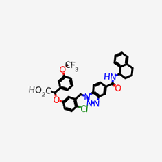 O=C(NC1CCCc2ccccc21)c1ccc2c(c1)nnn2Cc1cc(OC(C(=O)O)c2cccc(OC(F)(F)F)c2)ccc1Cl